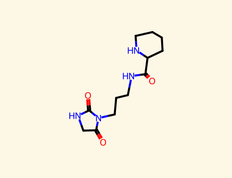 O=C(NCCCN1C(=O)CNC1=O)C1CCCCN1